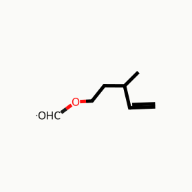 C=CC(C)CCO[C]=O